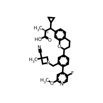 COc1cc(-c2ccc(C3CCc4ccc(C(C5CC5)[C@H](C)C(=O)O)cc4O3)cc2CN2CC(C)(C#N)C2)c(F)cn1